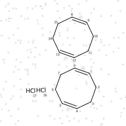 C1=C\CC/C=C\CC/1.C1=C\CC/C=C\CC/1.Cl.Cl